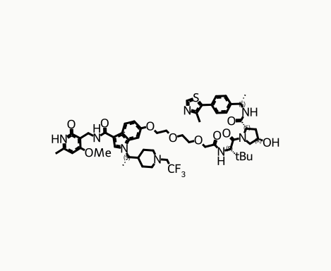 COc1cc(C)[nH]c(=O)c1CNC(=O)c1cn([C@@H](C)C2CCN(CC(F)(F)F)CC2)c2cc(OCCOCCOCC(=O)N[C@H](C(=O)N3C[C@H](O)C[C@H]3C(=O)N[C@@H](C)c3ccc(-c4scnc4C)cc3)C(C)(C)C)ccc12